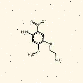 CSc1cc(N)c([N+](=O)[O-])cc1NCCN